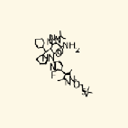 Cc1nn(COCC[Si](C)(C)C)c(C)c1-c1ccc(NC(=O)[C@H](c2nnn(C(C)C)c2C(N)=O)C(C2CCCCC2)C2CCCCC2)nc1F